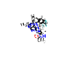 CC(=O)N[C@H]1CCN(c2cc3c(NC(C)c4cccc(C(F)(F)F)c4C)nc(C)nc3cn2)C1